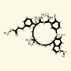 CN/C1=N\C(=N)[C@@](C)(c2cccc(CCC(=O)OC)c2)CCCC(C)(C)CSCCc2c(c(F)cc3c2ccn3SI)Sc2ccc(F)c1c2